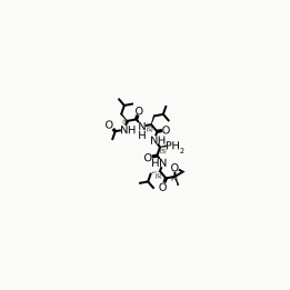 CC(=O)N[C@@H](CC(C)C)C(=O)N[C@@H](CC(C)C)C(=O)N[C@@H](P)C(=O)N[C@@H](CC(C)C)C(=O)[C@@]1(C)CO1